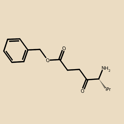 CC(C)[C@@H](N)C(=O)CCC(=O)OCc1ccccc1